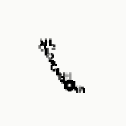 CC(C)c1ccc(CNCCOCCOCCON)cc1